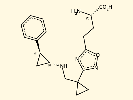 N[C@@H](CCc1nc(C2(CN[C@@H]3C[C@H]3c3ccccc3)CC2)no1)C(=O)O